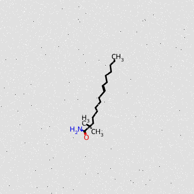 CCCCCCC=CCCCCCCC(C)(C)C(N)=O